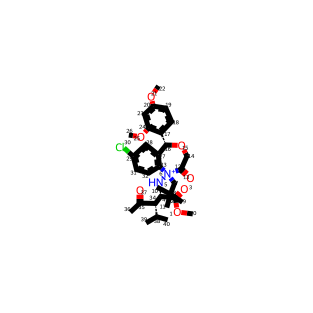 COC(=O)[C@@H](N[N+]1(CC(C)(C)C)C(=O)CO[C@@H](c2ccc(OC)cc2OC)c2cc(Cl)ccc21)[C@@H](C(C)=O)C(C)C